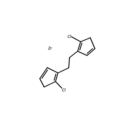 ClC1=C(CCC2=C(Cl)CC=C2)C=CC1.[Zr]